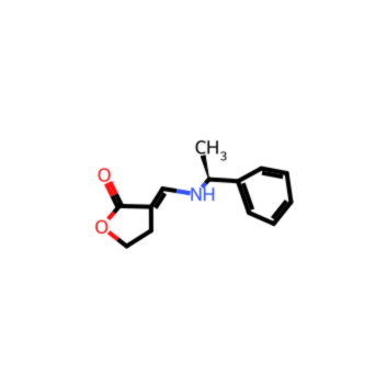 C[C@H](NC=C1CCOC1=O)c1ccccc1